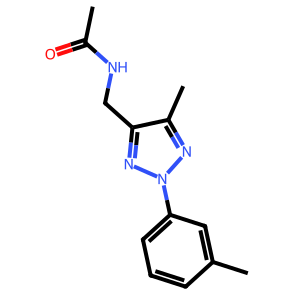 CC(=O)NCc1nn(-c2cccc(C)c2)nc1C